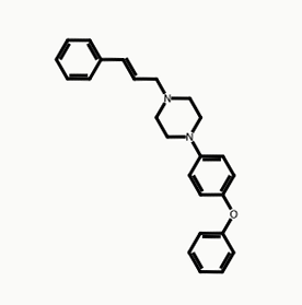 C(=Cc1ccccc1)CN1CCN(c2ccc(Oc3ccccc3)cc2)CC1